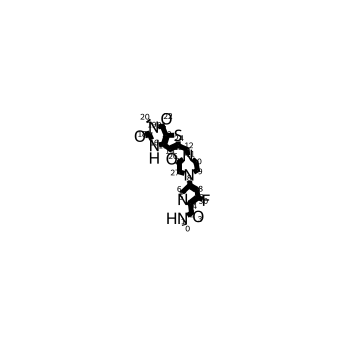 CNC(=O)c1ncc(N2CCN(Cc3cc4[nH]c(=O)n(C)c(=O)c4s3)C(=O)C2)cc1F